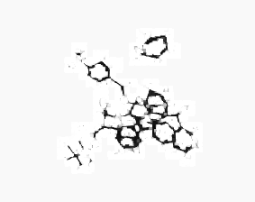 C[C@@H](O[Si](C)(C)C(C)(C)C)[C@H]1C(=O)N(C(C(=O)OCc2ccc([N+](=O)[O-])cc2)=P(c2ccccc2)(c2ccccc2)c2ccccc2)[C@@H]1[C@@H](C)C(=O)c1cn2cnc(C(=O)c3cccnc3)c2s1.c1ccncc1